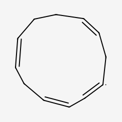 [C]1=CC=CCC=CCCC=CC1